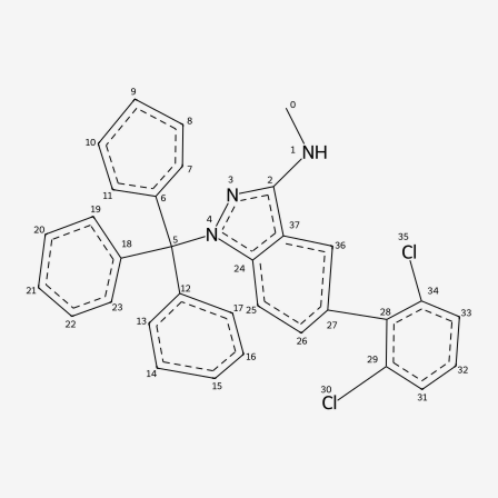 CNc1nn(C(c2ccccc2)(c2ccccc2)c2ccccc2)c2ccc(-c3c(Cl)cccc3Cl)cc12